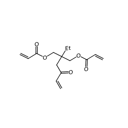 C=CC(=O)CC(CC)(COC(=O)C=C)COC(=O)C=C